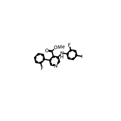 COC(=O)c1c(Nc2ccc(I)cc2F)cncc1-c1ccccc1F